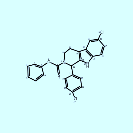 S=C(Oc1ccccc1)N1CCc2c([nH]c3ccc(Cl)cc23)C1c1ccc(Cl)cc1